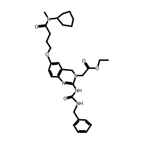 CCOC(=O)CN1Cc2cc(OCCCC(=O)N(C)C3CCCCC3)ccc2N=C1NC(=O)NCc1ccccc1